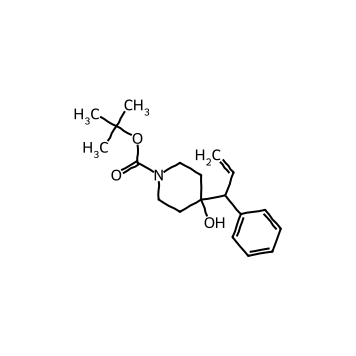 C=CC(c1ccccc1)C1(O)CCN(C(=O)OC(C)(C)C)CC1